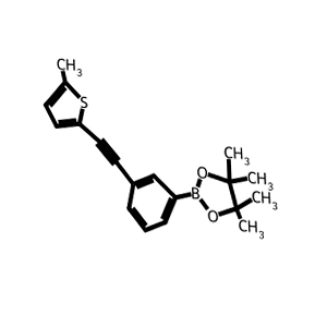 Cc1ccc(C#Cc2cccc(B3OC(C)(C)C(C)(C)O3)c2)s1